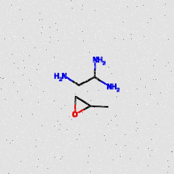 CC1CO1.NCC(N)N